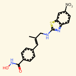 CC(=Cc1ccc(C(=O)NO)cc1)CNc1nc2ccc([N+](=O)[O-])cc2s1